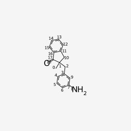 CC1(Cc2cccc(N)c2)Cc2ccccc2C1=O